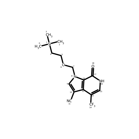 C[Si](C)(C)CCOCn1cc(C#N)c2c(C(F)(F)F)c[nH]c(=O)c21